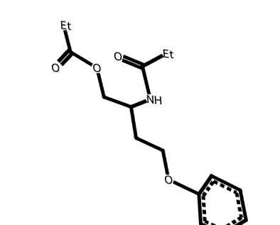 CCC(=O)NC(CCOc1ccccc1)COC(=O)CC